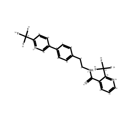 O=C(NCCc1ccc(-c2ccc(C(F)(F)F)nc2)cc1)c1cccnc1C(F)(F)F